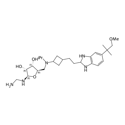 COCC(C)(C)c1ccc2c(c1)NC(CCC1CC(N(C[C@H]3O[C@@H](NCN)[C@H](O)[C@@H]3O)C(C)C)C1)N2